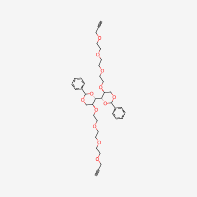 C#CCOCCOCCOCCO[C@H]1COC(c2ccccc2)O[C@@H]1[C@H]1OC(c2ccccc2)OC[C@@H]1OCCOCCOCCOCC#C